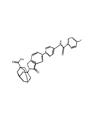 Cc1ccc(C(=O)Nc2ccc(-c3ccc4c(c3)C(=O)N(C35CC6CC(CC(C(=O)O)(C6)C3)C5)C4)cc2)cc1